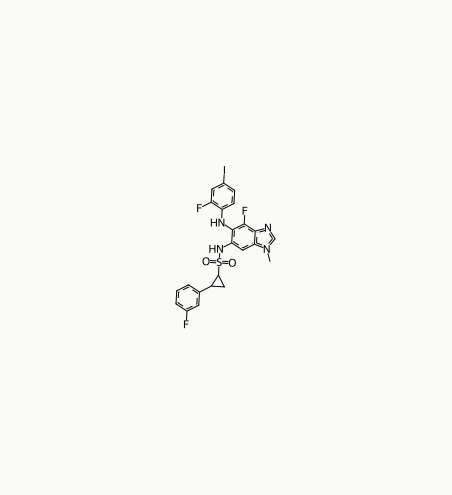 Cn1cnc2c(F)c(Nc3ccc(I)cc3F)c(NS(=O)(=O)C3CC3c3cccc(F)c3)cc21